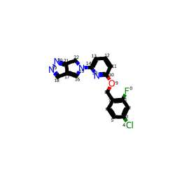 Fc1cc(Cl)ccc1COc1cccc(N2C=C3C=NN=C3C2)n1